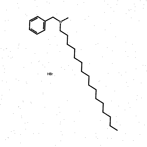 Br.CCCCCCCCCCCCCCCCN(C)Cc1ccccc1